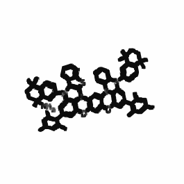 Cc1cc(C)c(-c2cc3c4c(c2)N(c2ccc5c(c2)C(C)(C)CCC5(C)C)c2ccccc2B4c2cc4c(cc2O3)Oc2cc(-c3c(C)cc(C)cc3C)cc3c2B4c2sc4ccccc4c2N3c2ccc3c(c2)C(C)(N)CCC3(C)C)c(C)c1